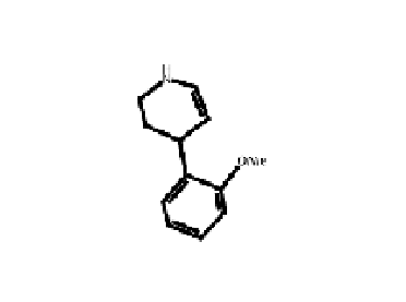 COc1ccccc1C1C=CNCC1